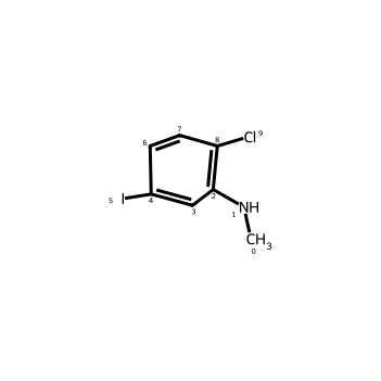 CNc1cc(I)ccc1Cl